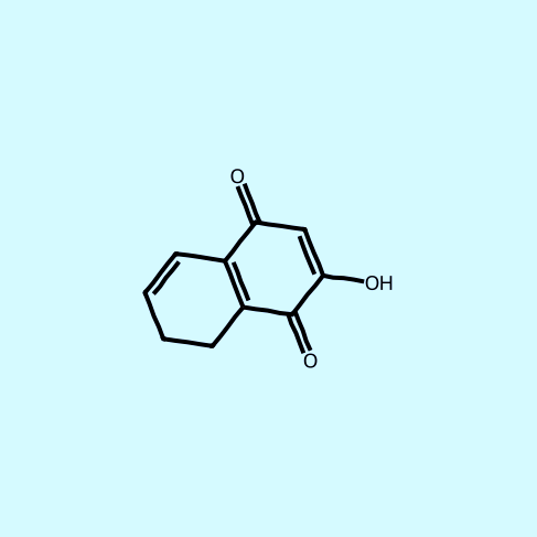 O=C1C=C(O)C(=O)C2=C1C=CCC2